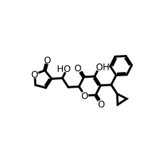 O=C1OCC=C1C(O)CC1OC(=O)C(C(c2ccccc2)C2CC2)=C(O)C1=O